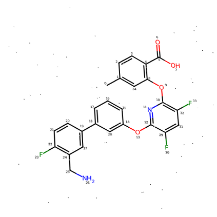 Cc1ccc(C(=O)O)c(Oc2nc(Oc3cccc(-c4ccc(F)c(CN)c4)c3)c(F)cc2F)c1